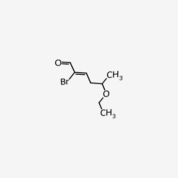 CCOC(C)CC=C(Br)C=O